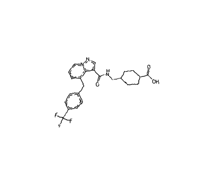 O=C(NCC1CCC(C(=O)O)CC1)c1cnn2cccc(Cc3ccc(C(F)(F)F)cc3)c12